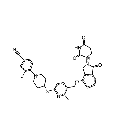 Cc1nc(SC2CCN(c3ccc(C#N)cc3F)CC2)ccc1COc1cccc2c1CN([C@@H]1CCC(=O)NC1=O)C2=O